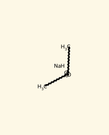 CCCCCCCCCCCCCCCCCCS(=O)(=O)OCCCCCCCCCCCCCCCC.[NaH]